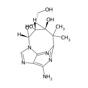 CC1(C)c2nc(N)c3ncn(c3n2)[C@@H]2O[C@H](CO)[C@@]1(O)[C@H]2O